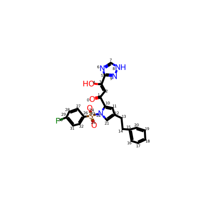 O=C(C=C(O)c1nc[nH]n1)c1cc(CCc2ccccc2)cn1S(=O)(=O)c1ccc(F)cc1